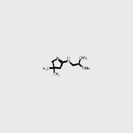 COC(CNC1=NCC(C)(C)C1)OC